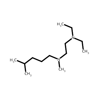 CCN(CC)CCN(C)CCCC(C)C